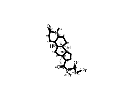 CC(C)NC(=O)N(C(=O)C1CC[C@H]2[C@@H]3CCC4N(C)C(=O)CC[C@]4(C)[C@@H]3CC[C@]12C)C(C)C